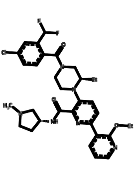 CCOc1ncccc1-c1ccc(N2CCN(C(=O)c3ccc(Cl)cc3C(F)F)C[C@H]2CC)c(C(=O)N[C@@H]2CCN(C)C2)n1